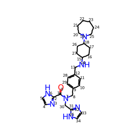 O=C(c1ncc[nH]1)N(Cc1ccc(CNC2CCC(N3CCCCCC3)CC2)cc1)Cc1ncc[nH]1